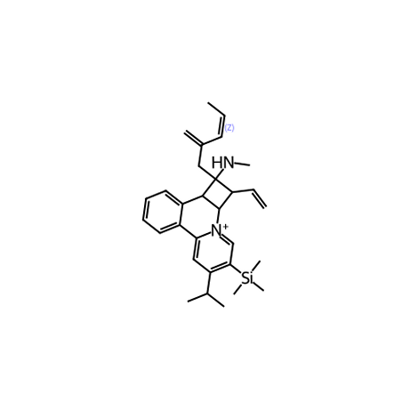 C=CC1C2C(c3ccccc3-c3cc(C(C)C)c([Si](C)(C)C)c[n+]32)C1(CC(=C)/C=C\C)NC